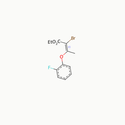 CCOC(=O)/C(Br)=C(/C)Oc1ccccc1F